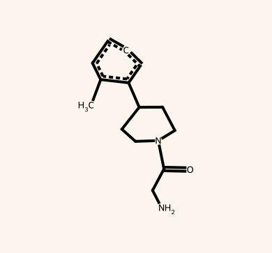 Cc1ccccc1C1CCN(C(=O)CN)CC1